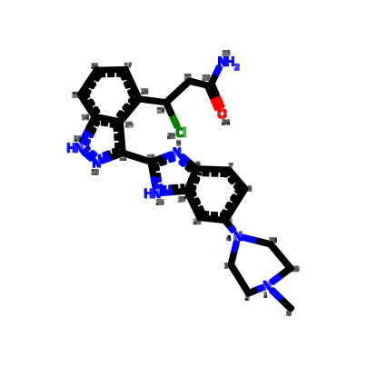 CN1CCN(c2ccc3nc(-c4n[nH]c5cccc(C(Cl)CC(N)=O)c45)[nH]c3c2)CC1